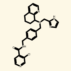 O=C(NCc1ccc(CN(Cc2ncc[nH]2)C2CCCc3cccnc32)cc1)c1ccncc1Cl